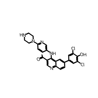 CC(=O)c1cnc2ccc(-c3cc(Cl)c(O)c(Cl)c3)cc2c1Nc1ccc(N2CCNCC2)nc1